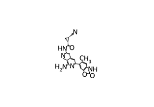 Cc1cc2[nH]c(=O)oc2cc1-c1cc2cc(NC(=O)C3C[C@H]3C#N)ncc2c(N)n1